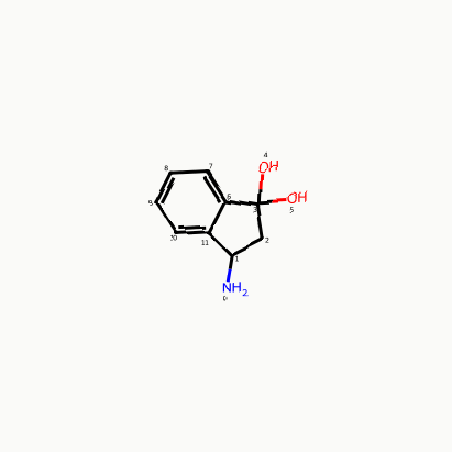 NC1CC(O)(O)c2ccccc21